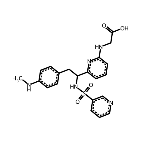 CNc1ccc(CC(NS(=O)(=O)c2cccnc2)c2cccc(NCC(=O)O)n2)cc1